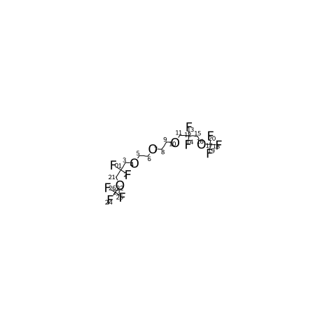 FC(F)(COCCOCCOCC(F)(F)COC(F)(F)F)COC(F)(F)F